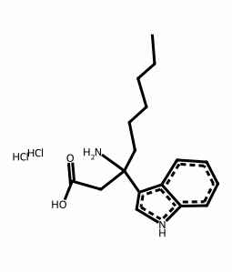 CCCCCCC(N)(CC(=O)O)c1c[nH]c2ccccc12.Cl.Cl